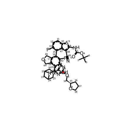 CC(C)(C)OC(=O)Nc1sc2ccc(F)c(-c3c4c(c5c(N6C7CC6CN(C(=O)O)C7)nc(OC[C@H]6CCCO6)nc5c3F)COC4)c2c1C#N